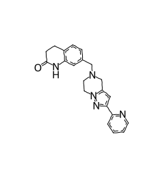 O=C1CCc2ccc(CN3CCn4nc(-c5ccccn5)cc4C3)cc2N1